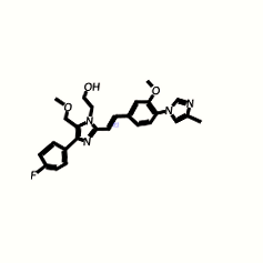 COCc1c(-c2ccc(F)cc2)nc(/C=C/c2ccc(-n3cnc(C)c3)c(OC)c2)n1CCO